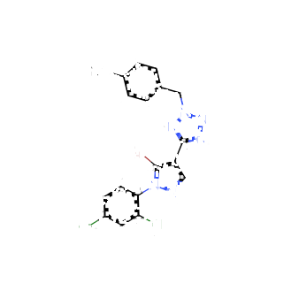 N#Cc1ccc(Cn2nnc(-c3cnn(-c4ccc(Cl)cc4Cl)c3Br)n2)cc1